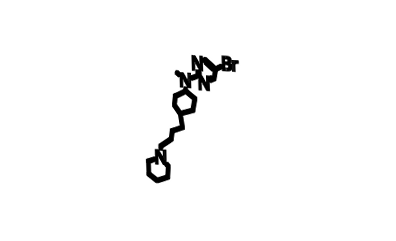 CN(c1ncc(Br)cn1)C1CCC(CCCCN2CCCCC2)CC1